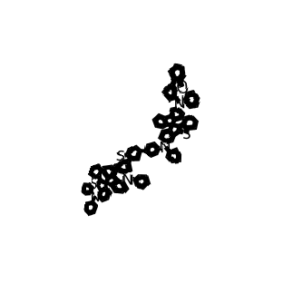 c1ccc(N(c2ccc(-c3ccc4sc5ccc(N(c6ccccc6)c6cccc7c6-c6ccccc6C76c7cccc(N(c8ccccc8)c8ccccc8)c7-c7sc8ccccc8c76)cc5c4c3)cc2)c2ccc3c(c2)-c2sc4ccccc4c2C32c3ccccc3-c3cc(N(c4ccccc4)c4cccc5c4oc4ccccc45)ccc32)cc1